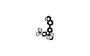 CCC(=O)N1CCC(C2(c3ccc(-c4ccc5cccnc5c4)cc3)OCCCO2)CC1